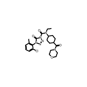 CCN(C(=O)n1nnn(-c2c(C)cccc2Cl)c1=O)C1CCC(C(=O)N2CCOCC2)CC1